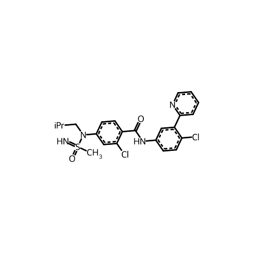 CC(C)CN(c1ccc(C(=O)Nc2ccc(Cl)c(-c3ccccn3)c2)c(Cl)c1)S(C)(=N)=O